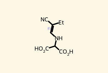 CC/C(C#N)=C\NC(C(=O)O)C(=O)O